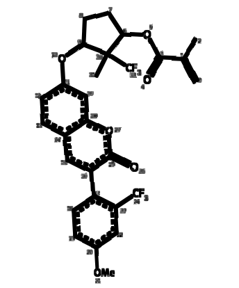 C=C(C)C(=O)OC1CCC(Oc2ccc3cc(-c4ccc(OC)cc4C(F)(F)F)c(=O)oc3c2)C1(C)C(F)(F)F